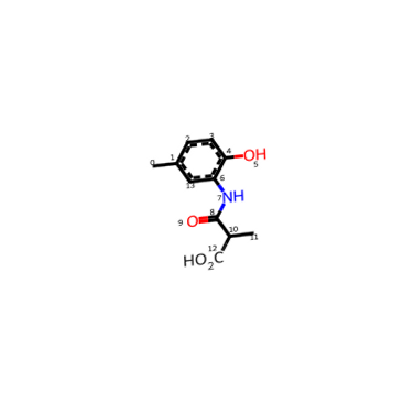 Cc1ccc(O)c(NC(=O)C(C)C(=O)O)c1